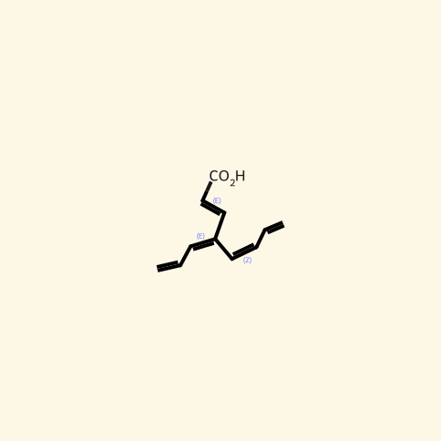 C=C\C=C/C(/C=C/C(=O)O)=C\C=C